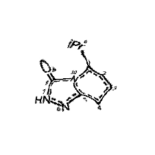 CC(C)c1cccc2n[nH]c(=O)n12